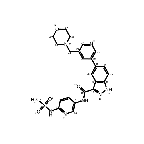 CS(=O)(=O)Nc1ccc(NC(=O)c2n[nH]c3ccc(-c4cncc(CN5CCOCC5)c4)cc23)cn1